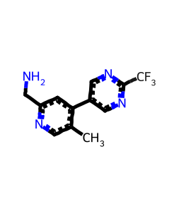 Cc1cnc(CN)cc1-c1cnc(C(F)(F)F)nc1